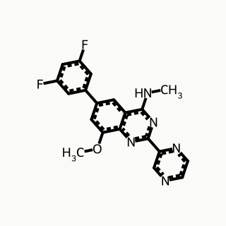 CNc1nc(-c2cnccn2)nc2c(OC)cc(-c3cc(F)cc(F)c3)cc12